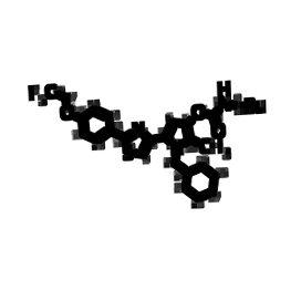 CCCCNC(=O)Oc1cc(-c2csc(-c3ccc(OCC(F)(F)F)cc3)n2)n(CC2CCCCC2)c1C